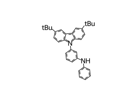 CC(C)(C)c1ccc2c(c1)c1cc(C(C)(C)C)ccc1n2-c1cccc(Nc2ccccc2)c1